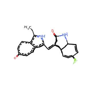 Cc1[nH]c(/C=C2\C(=O)NC3C=CC(F)=CC23)c2ccc(=O)ccc12